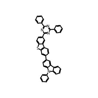 c1ccc(-c2nc(-c3ccccc3)nc(-c3ccc4sc5cc(-c6ccc7c(c6)c6ccccc6n7-c6ccccc6)ccc5c4c3)n2)cc1